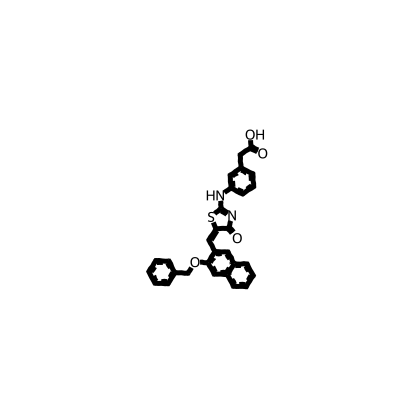 O=C(O)Cc1cccc(NC2=NC(=O)C(=Cc3cc4ccccc4cc3OCc3ccccc3)S2)c1